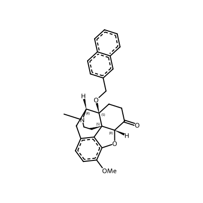 COc1ccc2c3c1O[C@H]1C(=O)CC[C@@]4(OCc5ccc6ccccc6c5)[C@@H](C2)N(C)CC[C@]314